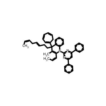 C/C=C\C/C=C/CCC1(C2=CC=CC=CC2)C(C)=C(/C=C\C)N(c2nc(-c3ccccc3)cc(-c3ccccc3)n2)c2ccccc21